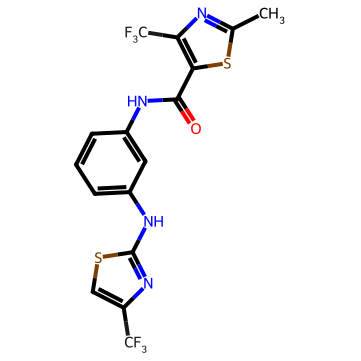 Cc1nc(C(F)(F)F)c(C(=O)Nc2cccc(Nc3nc(C(F)(F)F)cs3)c2)s1